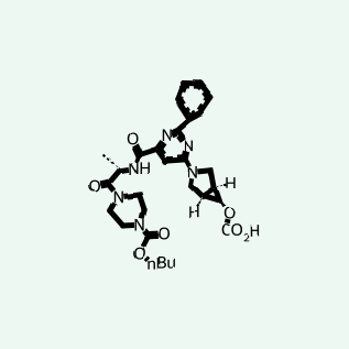 CCCCOC(=O)N1CCN(C(=O)[C@H](C)NC(=O)c2cc(N3C[C@@H]4[C@H](C3)[C@@H]4OC(=O)O)nc(-c3ccccc3)n2)CC1